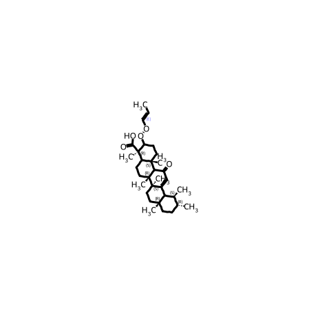 C/C=C/OOC1CC[C@@]2(C)C(CC[C@]3(C)C2C(=O)C=C2C4[C@@H](C)[C@H](C)CC[C@]4(C)CC[C@]23C)[C@@]1(C)C(=O)O